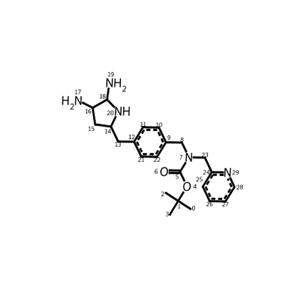 CC(C)(C)OC(=O)N(Cc1ccc(CC2CC(N)C(N)N2)cc1)Cc1ccccn1